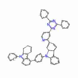 C1=Cc2c(n(-c3ccccc3)c3cccc(-c4ccc(N5c6ccccc6C6C=CC(c7cc(-c8nc(-c9ccccc9)nc(-c9ccccc9)n8)ccn7)=CC65)cc4)c23)CC1